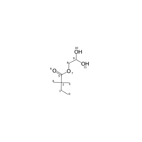 CCC(C)(C)C(=O)OCC(O)O